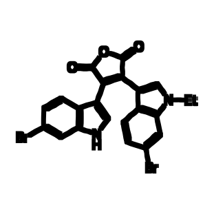 CCn1cc(C2=C(c3c[nH]c4cc(Br)ccc34)C(=O)OC2=O)c2ccc(Br)cc21